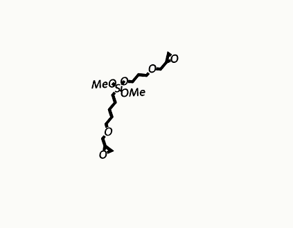 CO[Si](CCCCCOCC1CO1)(OC)OCCCOCC1CO1